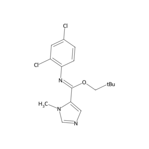 Cn1cncc1/C(=N/c1ccc(Cl)cc1Cl)OCC(C)(C)C